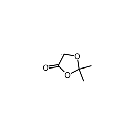 CC1(C)O[CH]C(=O)O1